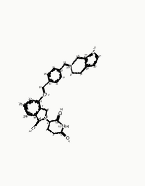 O=C1CCC(N2Cc3c(OCc4ccc(CN5CCc6ccsc6C5)cc4)cccc3C2=O)C(=O)N1